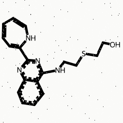 OCCSCCNc1nc(C2=CC=CC=CN2)nc2ccccc12